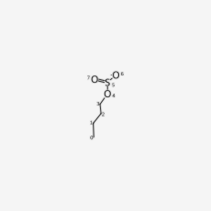 CCCCOS([O])=O